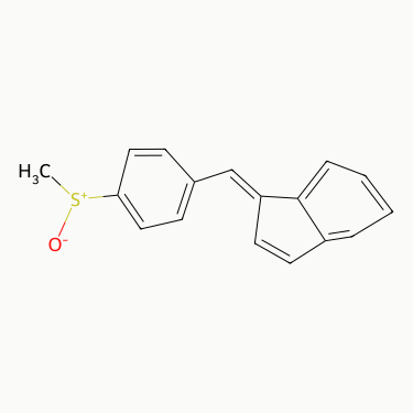 C[S+]([O-])c1ccc(C=C2C=Cc3ccccc32)cc1